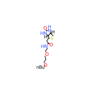 CCCCOCCCOCCNC(=O)CC1SC[C@@H]2NC(=O)N[C@H]12